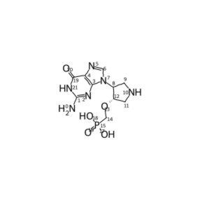 Nc1nc2c(ncn2C2CNC[C@@H]2OCP(=O)(O)O)c(=O)[nH]1